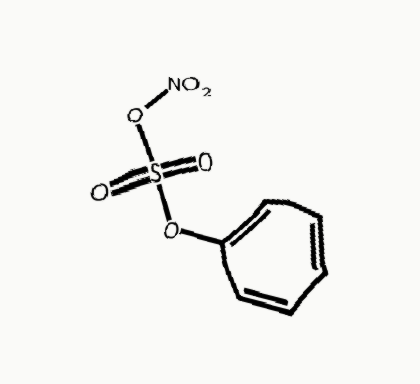 O=[N+]([O-])OS(=O)(=O)Oc1ccccc1